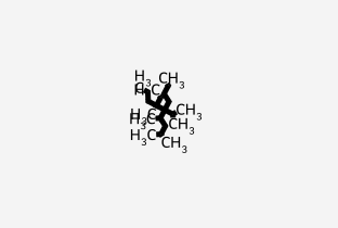 CCCCC([C](C)CC(C)C)(C(C)C)C(C)(CC)CCC